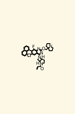 C=CC(=O)N1CC[C@H]2[C@H]1CN2c1nc(OCC23CCCN2CCC3)nc2c(F)c(-c3cccc4cccc(Cl)c34)c(Cl)cc12